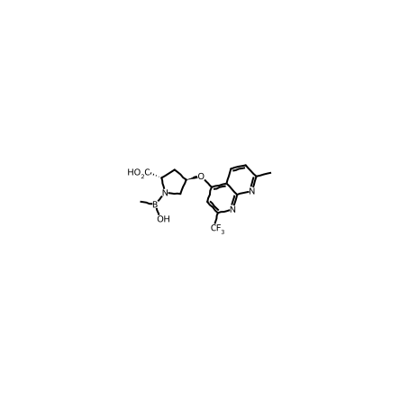 CB(O)N1C[C@H](Oc2cc(C(F)(F)F)nc3nc(C)ccc23)C[C@H]1C(=O)O